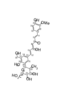 COc1cc(/C=C/C(=O)/C=C(O)/C=C/c2cc(CO)c(O)c(C3OC(C(=O)O)C(O)C(O)C3C)c2)ccc1O